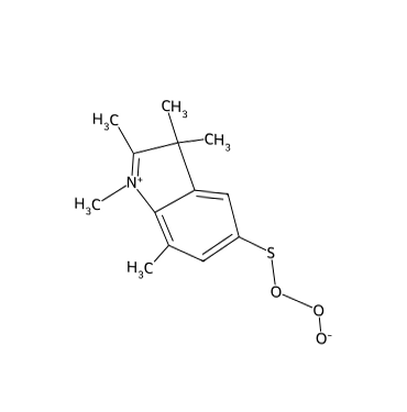 CC1=[N+](C)c2c(C)cc(SOO[O-])cc2C1(C)C